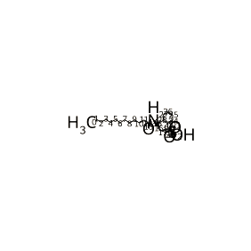 CCCCCCCCCCCCC(=O)Nc1ccc(S(=O)(=O)O)c2ccccc12